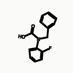 O=C(O)N(Cc1ccccc1)c1ccccc1F